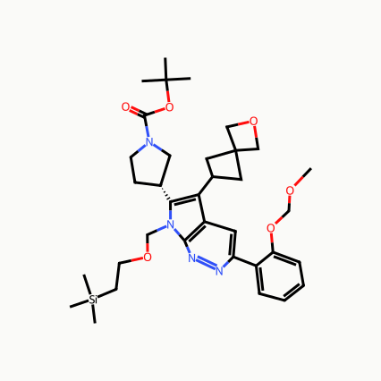 COCOc1ccccc1-c1cc2c(C3CC4(COC4)C3)c([C@@H]3CCN(C(=O)OC(C)(C)C)C3)n(COCC[Si](C)(C)C)c2nn1